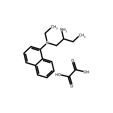 CCC(N)CN(CC)c1cccc2ccccc12.O=C(O)C(=O)O